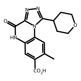 Cc1cc2c(cc1C(=O)O)[nH]c(=O)c1nnc(C3CCOCC3)n12